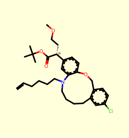 C=CCCCCN1CCCCc2cc(Cl)ccc2COc2ccc([C@@H](CCOC)C(=O)OC(C)(C)C)cc21